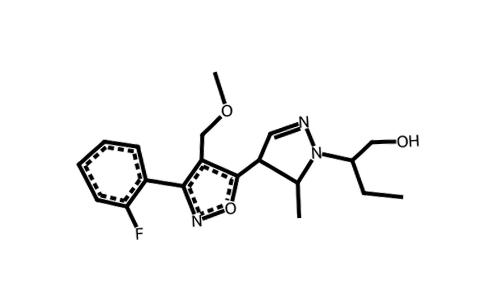 CCC(CO)N1N=CC(c2onc(-c3ccccc3F)c2COC)C1C